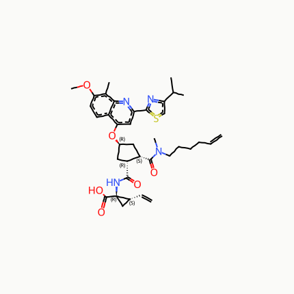 C=CCCCCN(C)C(=O)[C@H]1C[C@H](Oc2cc(-c3nc(C(C)C)cs3)nc3c(C)c(OC)ccc23)C[C@H]1C(=O)N[C@]1(C(=O)O)C[C@H]1C=C